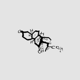 C[C@H](C(=O)O)[C@H]1CC[C@H]2[C@@H]3CC[C@@H]4CC(=O)CC[C@]4(C)[C@H]3C[C@H](O)[C@]12C